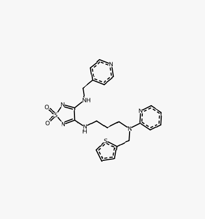 O=S1(=O)N=C(NCCCN(Cc2cccs2)c2ccccn2)C(NCc2ccncc2)=N1